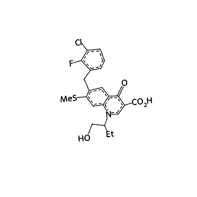 CCC(CO)n1cc(C(=O)O)c(=O)c2cc(Cc3cccc(Cl)c3F)c(SC)cc21